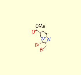 COC(=O)c1ccc2nc(CBr)c(Br)n2c1